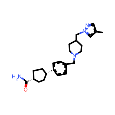 Cc1cnn(CC2CCN(Cc3ccc([C@H]4CC[C@@H](C(N)=O)CC4)cc3)CC2)c1